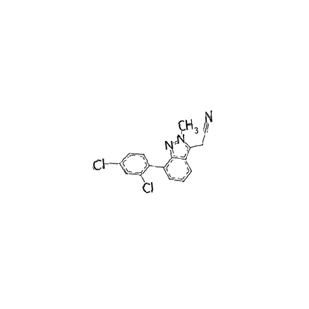 Cn1nc2c(-c3ccc(Cl)cc3Cl)cccc2c1CC#N